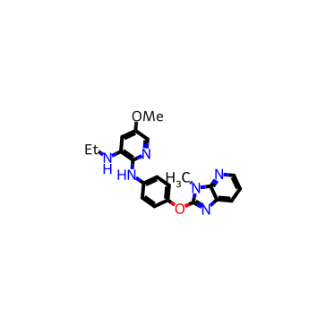 CCNc1cc(OC)cnc1Nc1ccc(Oc2nc3cccnc3n2C)cc1